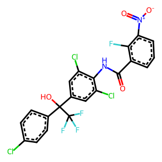 O=C(Nc1c(Cl)cc(C(O)(c2ccc(Cl)cc2)C(F)(F)F)cc1Cl)c1cccc([N+](=O)[O-])c1F